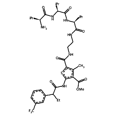 CCC(C(=O)Nc1sc(C(=O)NCCNC(=O)[C@@H](NC(=O)[C@@H](NC(=O)[C@@H](N)C(C)C)C(C)C)C(C)C)c(C)c1C(=O)OC)c1cccc(C(F)(F)F)c1